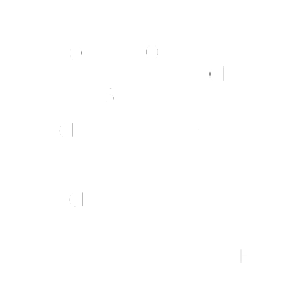 O=S(=O)(Cl)c1c(Cl)cc(F)cc1Cl